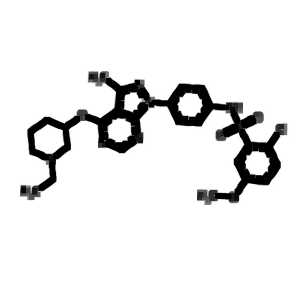 CCN1CCCC(Oc2ncnc3c2c(C)nn3-c2ccc(NS(=O)(=O)c3cc(OC)ccc3Cl)cc2)C1